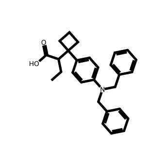 CCC(C(=O)O)C1(c2ccc(N(Cc3ccccc3)Cc3ccccc3)cc2)CCC1